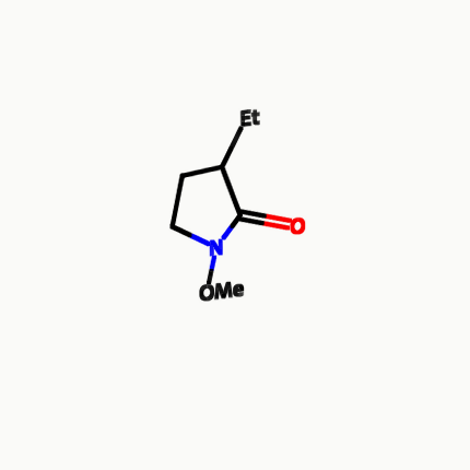 CCC1CCN(OC)C1=O